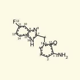 Nc1cccn(Cc2nc3cc(F)ccc3[nH]2)c1=O